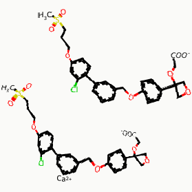 CS(=O)(=O)CCCOc1ccc(-c2cccc(COc3ccc(C4(OCC(=O)[O-])COC4)cc3)c2)c(Cl)c1.CS(=O)(=O)CCCOc1ccc(-c2cccc(COc3ccc(C4(OCC(=O)[O-])COC4)cc3)c2)c(Cl)c1.[Ca+2]